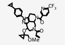 C=CC(=O)N1CC(OC2(COC)CC2)c2nn(-c3ccc(C4CC4)cc3)c3c2C(C1)N(C(=O)c1ccc(C(F)(F)F)nc1)CC3